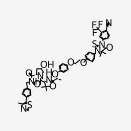 Cc1ncsc1-c1ccc(CNC(=O)[C@H]2C[C@@H](O)CN2C(=O)[C@@H](NC(=O)[C@H](C)Oc2ccc(OCCOc3ccc(N4C(=S)N(c5ccc(C#N)c(C(F)(F)F)c5)C(=O)C4(C)C)cc3)cc2)C(C)(C)C)cc1